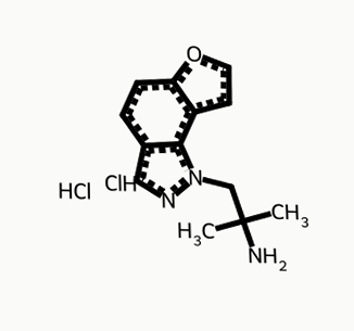 CC(C)(N)Cn1ncc2ccc3occc3c21.Cl.Cl